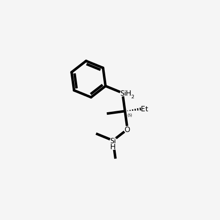 CC[C@@](C)(O[SiH](C)C)[SiH2]c1ccccc1